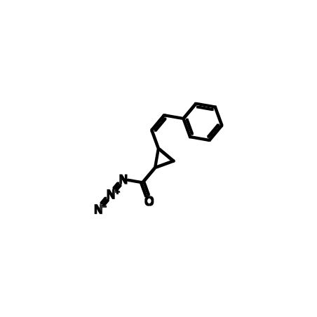 [N-]=[N+]=NC(=O)C1CC1/C=C\c1ccccc1